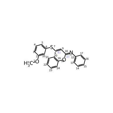 COc1cccc(S/C=C/C(=N/c2ccccc2)Oc2ccccc2)c1